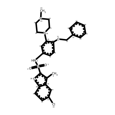 Cc1c(S(=O)(=O)Nc2ccc(OCc3ccccc3)c(N3CCN(C)CC3)c2)sc2ccc(Cl)cc12